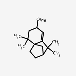 COC1C=C2C(C)(C)C3CCC2(C3)C(C)(C)C1